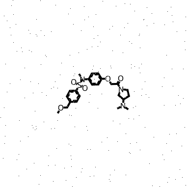 COCc1ccc(S(=O)(=O)N(C)c2ccc(OCC(=O)N3CCC(N(C)C)C3)cc2)cc1